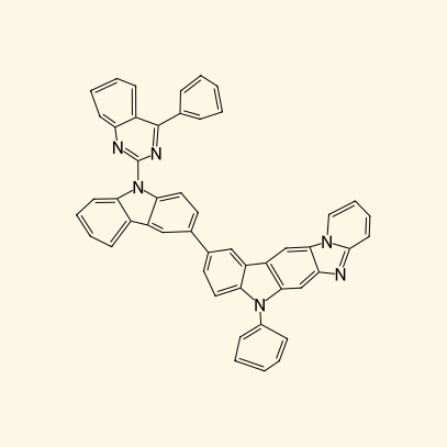 c1ccc(-c2nc(-n3c4ccccc4c4cc(-c5ccc6c(c5)c5cc7c(cc5n6-c5ccccc5)nc5ccccn57)ccc43)nc3ccccc23)cc1